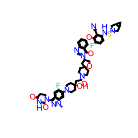 Cn1nc(N2CCC(=O)NC2=O)c2cc(F)c(N3CCC(O)(CC(=O)N4CCC5(CC4)CC(n4cnc6ccc(Oc7c(F)ccc(NSN8CC9CC9C8)c7C#N)cc6c4=O)CO5)CC3)cc21